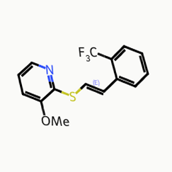 COc1cccnc1S/C=C/c1ccccc1C(F)(F)F